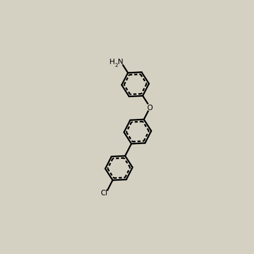 Nc1ccc(Oc2ccc(-c3ccc(Cl)cc3)cc2)cc1